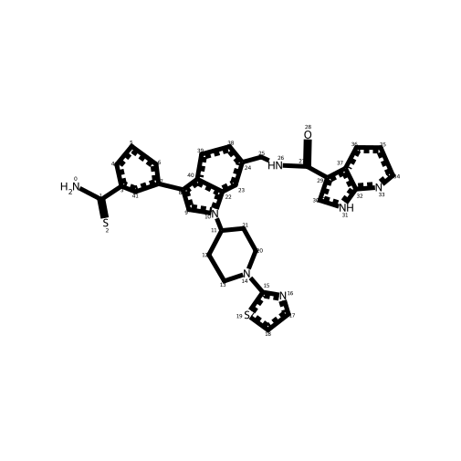 NC(=S)c1cccc(-c2cn(C3CCN(c4nccs4)CC3)c3cc(CNC(=O)c4c[nH]c5ncccc45)ccc23)c1